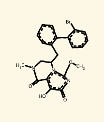 COc1nc(=O)c(O)c2n1C(Cc1ccccc1-c1ccccc1Br)CN(C)C2=O